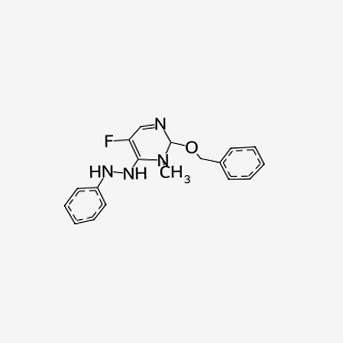 CN1C(NNc2ccccc2)=C(F)C=NC1OCc1ccccc1